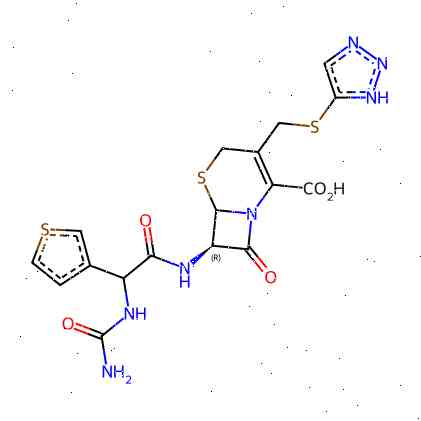 NC(=O)NC(C(=O)N[C@@H]1C(=O)N2C(C(=O)O)=C(CSc3cnn[nH]3)CSC12)c1ccsc1